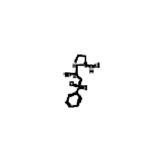 O=S(=O)(C[C@@H](O)[C@@H]1CCCN1PCl)c1ccccc1